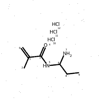 C=C(C)C(=O)NC(N)CC.Cl.Cl.Cl